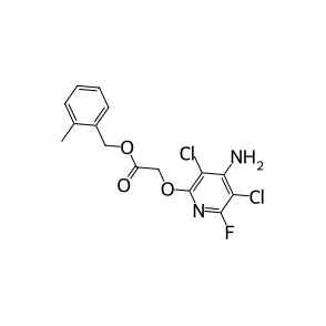 Cc1ccccc1COC(=O)COc1nc(F)c(Cl)c(N)c1Cl